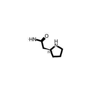 [NH]C(=O)C[C@@H]1CCCN1